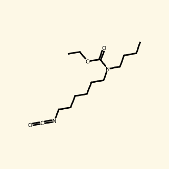 CCCCN(CCCCCCN=C=O)C(=O)OCC